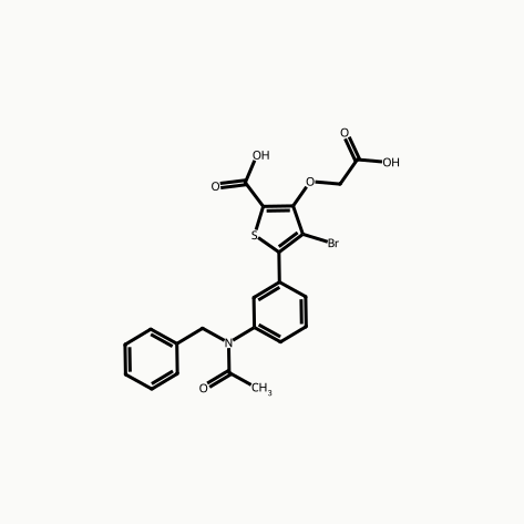 CC(=O)N(Cc1ccccc1)c1cccc(-c2sc(C(=O)O)c(OCC(=O)O)c2Br)c1